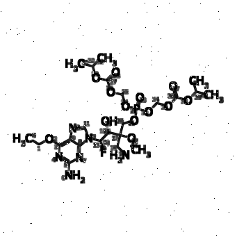 CCOc1nc(N)nc2c1ncn2[C@H](F)[C@H](O)C(CN)(COP(=O)(OCOC(=O)OC(C)C)OCOC(=O)OC(C)C)OC